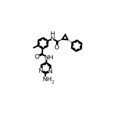 Cc1ccc(NC(=O)[C@H]2C[C@@H]2c2ccccc2)cc1C(=O)Nc1cnc(N)nc1